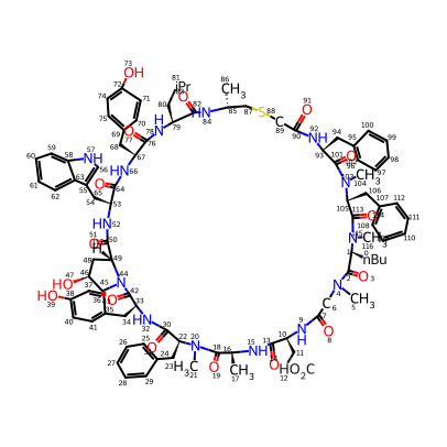 CCCC[C@H]1C(=O)N(C)CC(=O)N[C@@H](CC(=O)O)C(=O)N[C@@H](C)C(=O)N(C)[C@@H](Cc2ccccc2)C(=O)N[C@@H](Cc2ccc(O)cc2)C(=O)N2C[C@@H](O)C[C@@H]2C(=O)N[C@@H](Cc2c[nH]c3ccccc23)C(=O)N[C@@H](Cc2ccc(O)cc2)C(=O)N[C@@H](CC(C)C)C(=O)N[C@H](C)CSCC(=O)N[C@@H](Cc2ccccc2)C(=O)N(C)[C@@H](Cc2ccccc2)C(=O)N1C